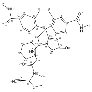 CNC(=O)c1ccc2c(c1)CCc1cc(C(=O)NC)ccc1C2(CCNCC(=O)N1CCC[C@H]1C#N)c1nc(=O)on1C1CCCCC1